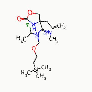 C=CCC1(/C(=N/C)N(COCC[Si](C)(C)C)C(C)F)COC(=O)N1